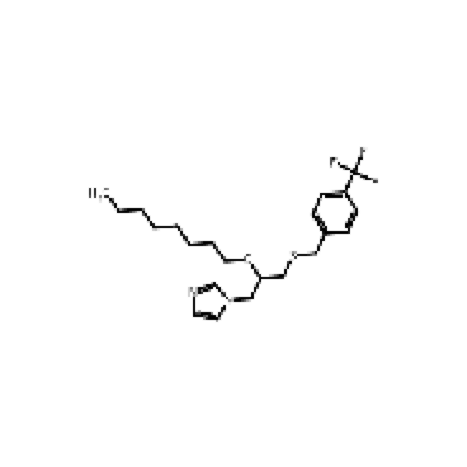 CCCCCCCCOC(CSCc1ccc(C(F)(F)F)cc1)Cn1ccnc1